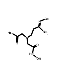 N/C(CCN(CC(=O)O)CC(=O)NO)=N\O